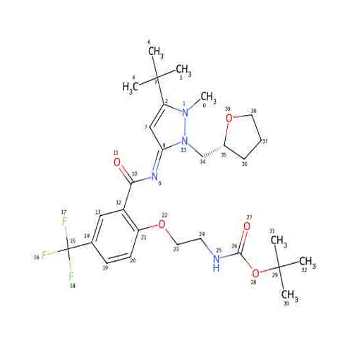 Cn1c(C(C)(C)C)cc(=NC(=O)c2cc(C(F)(F)F)ccc2OCCNC(=O)OC(C)(C)C)n1C[C@H]1CCCO1